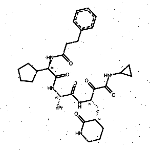 CCC[C@H](NC(=O)[C@H](NC(=O)CCc1ccccc1)C1CCCC1)C(=O)N[C@@H](C[C@@H]1CCCNC1=O)C(=O)C(=O)NC1CC1